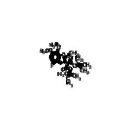 COC(=O)[C@H](Cc1cc(OC)c(OC)cc1F)N(C(=O)OC(C)(C)C)C(=O)OC(C)(C)C